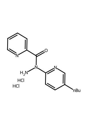 CCCCc1ccc(N(N)C(=O)c2ccccn2)nc1.Cl.Cl